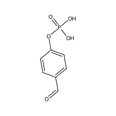 O=Cc1ccc(OP(=O)(O)O)cc1